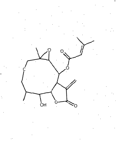 C=C1C(=O)OC2C(O)C(C)CCCC3(C)OC3C(OC(=O)C=C(C)C)C12